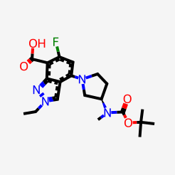 CCn1cc2c(N3CC[C@@H](N(C)C(=O)OC(C)(C)C)C3)cc(F)c(C(=O)O)c2n1